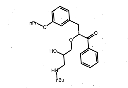 CCCCNCC(O)COC(Cc1cccc(OCCC)c1)C(=O)c1ccccc1